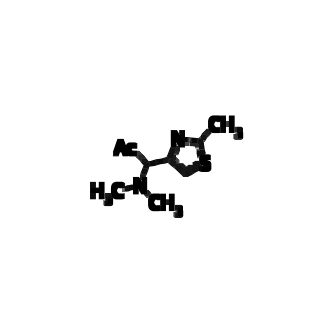 CC(=O)C(c1csc(C)n1)N(C)C